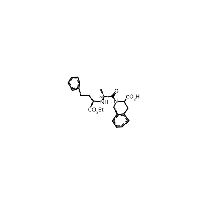 CCOC(=O)C(CCc1ccccc1)N[C@@H](C)C(=O)N1Cc2ccccc2CC1C(=O)O